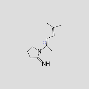 CC(C)=C/C=C(\C)N1CCCC1=N